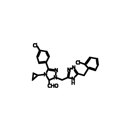 O=CC1N(Cc2nnc(Cc3ccccc3Cl)[nH]2)N=C(c2ccc(Cl)cc2)N1C1CC1